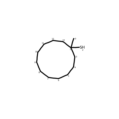 CC1(S)CCCCCCCCCCC1